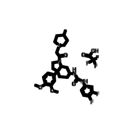 COc1ccc(C23CCC(NC(=O)Nc4ccc(F)c(F)c4)CC2N(C(=O)CN2CCC(C)CC2)CC3)cc1OC.O=C(O)C(F)(F)F